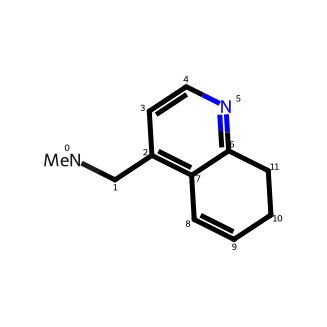 CNCc1ccnc2c1C=CCC2